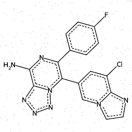 Nc1nc(-c2ccc(F)cc2)c(-c2cc(Cl)c3nccn3c2)n2nnnc12